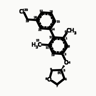 Cc1cc(O[C@@H]2CCOC2)cc(C)c1-c1cccc(CCl)c1